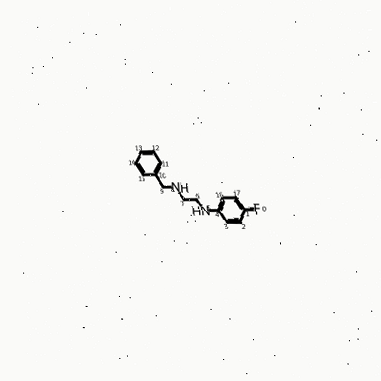 Fc1ccc(NCCNCc2ccccc2)cc1